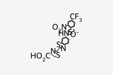 O=C(O)[C@H]1CSC(c2nc3ccc(N[S+]([O-])c4ccc(C(F)(F)F)cc4[N+](=O)[O-])cc3s2)=N1